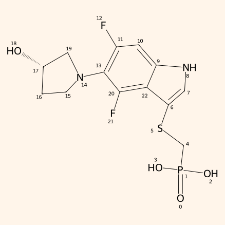 O=P(O)(O)CSc1c[nH]c2cc(F)c(N3CC[C@H](O)C3)c(F)c12